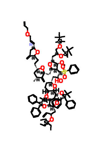 C=CCOC/C=C/[C@H]1CC(=C)[C@H](CC[C@H]2C[C@@H](C)C(=C)[C@@H](C[C@@H]3O[C@H](C[C@@H](CO[Si](C)(C)C(C)(C)C)O[Si](C)(C)C(C)(C)C)[C@H](OC)[C@H]3[C@@H](C(O)C[C@H]3CC[C@@H]4O[C@@H]5[C@@H](O[C@H](CC(C=C)O[Si](CC)(CC)CC)[C@@H]5O[Si](c5ccccc5)(c5ccccc5)C(C)(C)C)[C@@H](O[Si](c5ccccc5)(c5ccccc5)C(C)(C)C)[C@H]4O3)S(=O)(=O)c3ccccc3)O2)O1